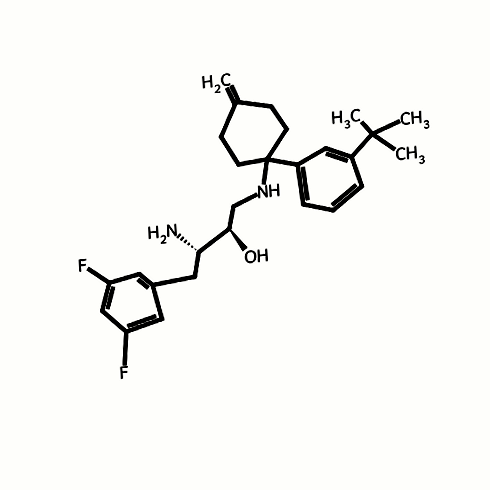 C=C1CCC(NC[C@@H](O)[C@@H](N)Cc2cc(F)cc(F)c2)(c2cccc(C(C)(C)C)c2)CC1